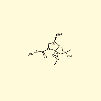 C[SiH](C)O[C@@]1(CC(C)(C)C#N)C[C@H](C(C)(C)C)CN1C(=O)OC(C)(C)C